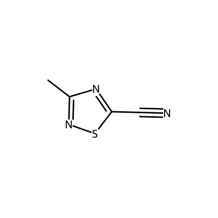 Cc1nsc(C#N)n1